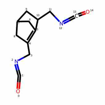 O=C=NCC1=C2CC(C1)CC2CN=C=O